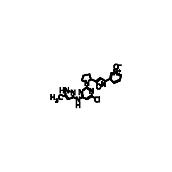 Cc1cc(Nc2cc(Cl)nc(N3CCCC3c3cc(-c4ccc[n+]([O-])c4)no3)n2)n[nH]1